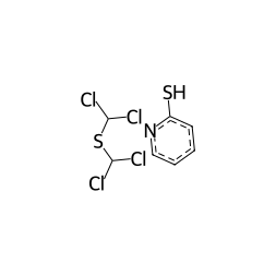 ClC(Cl)SC(Cl)Cl.Sc1ccccn1